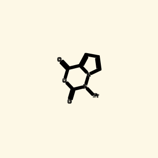 CC(C)n1c(=O)oc(=O)c2cccn21